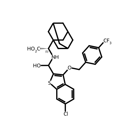 O=C(O)[C@@H](NC(O)c1sc2cc(Cl)ccc2c1OCc1ccc(C(F)(F)F)cc1)C12CC3CC(CC(C3)C1)C2